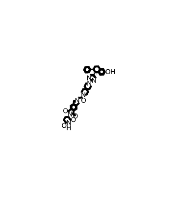 O=C1CCC(N2C(=O)c3cc4c(cc3C2=O)CN(CC(=O)N2CCC3(CC2)CCN(c2ncc([C@@H]5c6ccc(O)cc6CC[C@@H]5c5ccccc5)cn2)CC3)C4)C(=O)N1